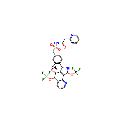 Cc1cc(CS(=O)(=O)NC(=O)Cc2ccccn2)ccc1C1NC(OC(F)(F)F)C2=C1C(=O)C(OC(F)(F)F)c1cccnc12